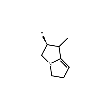 CC1C2=CCCN2C[C@H]1F